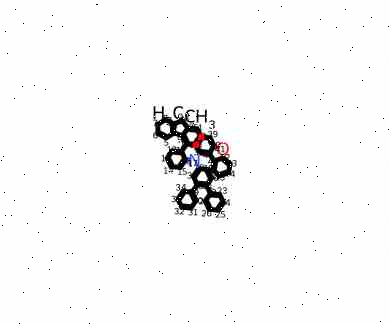 CC1(C)C2=C(C=CCC2)c2c(-c3ccccc3N(c3ccc(-c4ccccc4)c(-c4ccccc4)c3)c3cccc4oc5ccccc5c34)cccc21